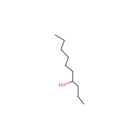 C[CH]CC(O)CCCCCC